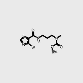 CN(CCCNC(=O)c1scnc1Br)C(=O)OC(C)(C)C